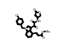 CC(C)(C)OC(=O)C=Cc1cccc2c1c(C(=O)C(=O)NC1=CC(=O)OC1)cn2Cc1ccc(Cl)cc1